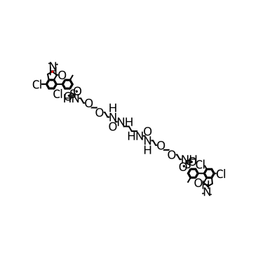 Cc1cc(S(=O)(=O)NCCOCCOCCNC(=O)NCCCCNC(=O)NCCOCCOCCNS(=O)(=O)c2cc(C)c3c(c2)-c2c(Cl)cc(Cl)c4c2[C@H](O3)[C@@H](N(C)C)C4)cc2c1O[C@H]1c3c(c(Cl)cc(Cl)c3-2)C[C@@H]1N(C)C